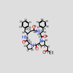 CCC(=O)CC1CC2C(=O)N3CCCC3C(=O)NC(Cc3ccccc3)CC(=O)NC(Cc3ccccc3)C(=O)N2C1